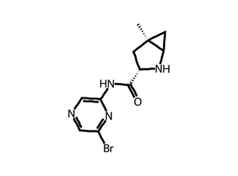 C[C@]12CC1N[C@H](C(=O)Nc1cncc(Br)n1)C2